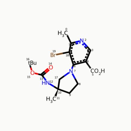 Cc1ncc(C(=O)O)c(N2CC[C@](C)(NC(=O)OC(C)(C)C)C2)c1Br